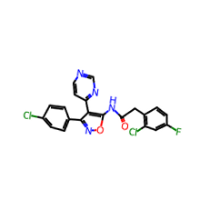 O=C(Cc1ccc(F)cc1Cl)Nc1onc(-c2ccc(Cl)cc2)c1-c1ccncn1